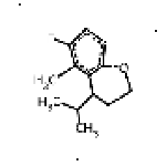 Cc1c(F)ccc2c1C(C(C)C)CCO2